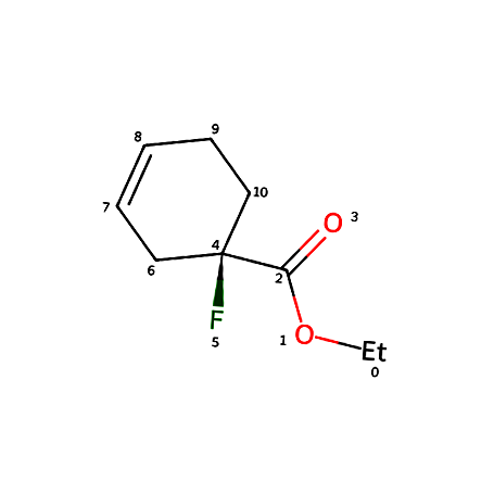 CCOC(=O)[C@]1(F)CC=CCC1